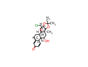 CC1(C)O[C@@H]2C[C@H]3[C@@H]4CCC5=CC(=O)C=C[C@]5(C)[C@H]4[C@@H](O)C[C@]3(C)[C@]2(C(=O)CCl)O1